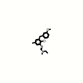 CCN(C)C=Nc1cc(C)cc(Cc2cccc(OC)c2)c1Cl